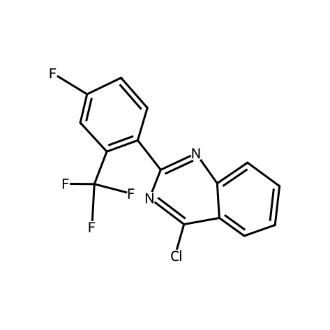 Fc1ccc(-c2nc(Cl)c3ccccc3n2)c(C(F)(F)F)c1